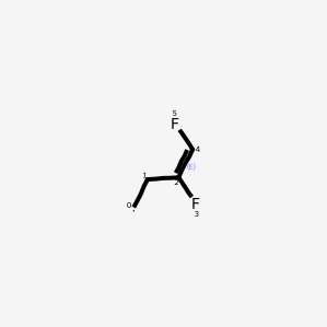 [CH2]C/C(F)=C\F